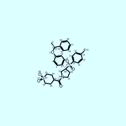 C[C@H](Oc1ccc([C@]2(S(=O)(=O)c3ccc(F)cc3)CCN(C(=O)C3CCS(=O)(=O)CC3)C2)cc1)c1ccccc1